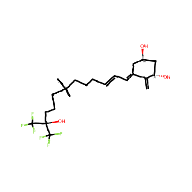 C=C1C(=CC=CCCCC(C)(C)CCCC(O)(C(F)(F)F)C(F)(F)F)C[C@@H](O)C[C@@H]1O